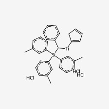 Cc1cccc([Si](c2cccc(C)c2)(c2cccc(C)c2)[CH]([Ti][C]2=CC=CC2)c2ccccc2)c1.Cl.Cl.Cl